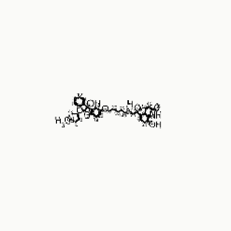 CN1CC[C@@H](OC(=O)C(O)(c2ccccc2)c2cccc(OCCCCCNC[C@H](O)c3ccc(O)c4[nH]c(=O)ccc34)c2)C1